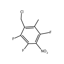 Cc1c(F)c([N+](=O)[O-])c(F)c(F)c1CCl